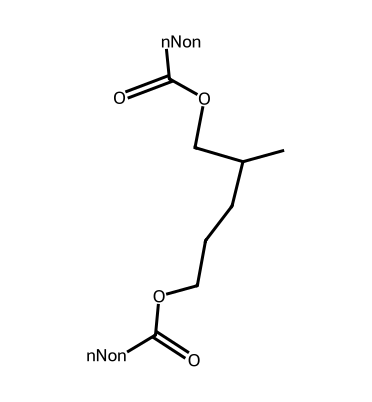 CCCCCCCCCC(=O)OCCCC(C)COC(=O)CCCCCCCCC